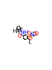 CCCc1ccc(C(=O)NC2C(C)(C)[C@@H]3CC[C@]2(C)C3)cc1S(=O)(=O)N1CCOCC1